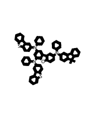 CC1(C)c2ccccc2-c2cc(N(c3ccccc3)c3ccc4oc5c(N(c6ccccc6)c6ccc7sc8ccccc8c7c6)cc(N(c6ccccc6)c6ccc7sc8ccccc8c7c6)cc5c4c3)ccc21